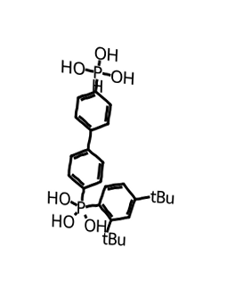 CC(C)(C)c1ccc(P(O)(O)(O)c2ccc(-c3ccc([PH](O)(O)O)cc3)cc2)c(C(C)(C)C)c1